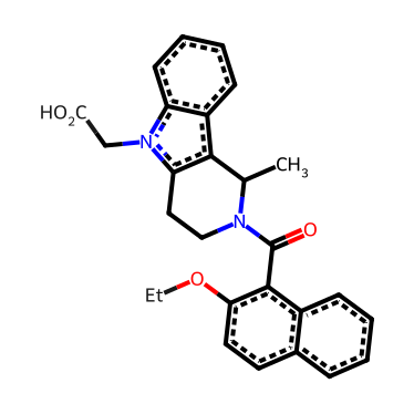 CCOc1ccc2ccccc2c1C(=O)N1CCc2c(c3ccccc3n2CC(=O)O)C1C